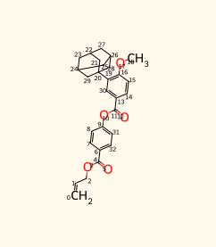 C=CCOC(=O)c1ccc(OC(=O)c2ccc(OC)c(C34CC5CC(CC(C5)C3)C4)c2)cc1